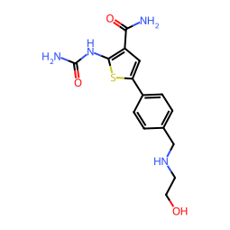 NC(=O)Nc1sc(-c2ccc(CNCCO)cc2)cc1C(N)=O